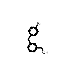 OCc1cccc(Cc2ccc(Br)cc2)c1